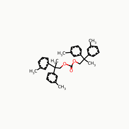 Cc1cccc(C(C)(COC(=O)OCC(C)(c2cccc(C)c2)c2cccc(C)c2)c2cccc(C)c2)c1